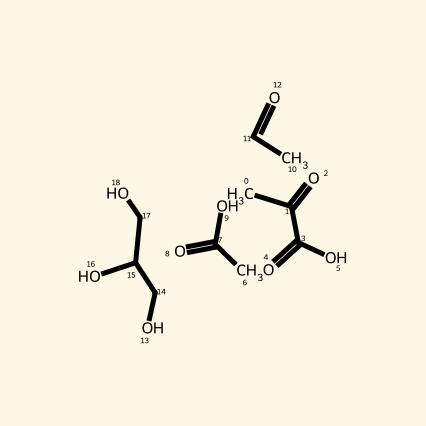 CC(=O)C(=O)O.CC(=O)O.CC=O.OCC(O)CO